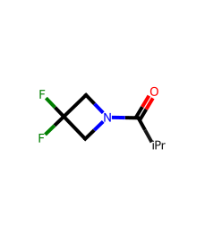 CC(C)C(=O)N1CC(F)(F)C1